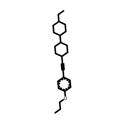 CCCOc1ccc(C#CC2CCC(C3CCC(CC)CC3)CC2)cc1